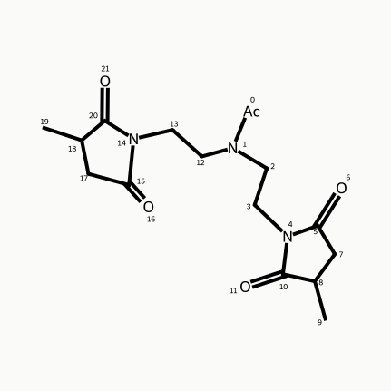 CC(=O)N(CCN1C(=O)CC(C)C1=O)CCN1C(=O)CC(C)C1=O